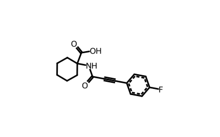 O=C(C#Cc1ccc(F)cc1)NC1(C(=O)O)CCCCC1